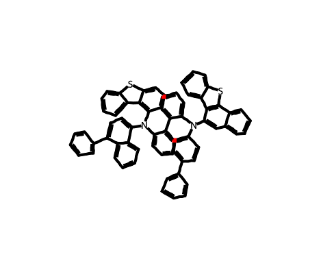 c1ccc(-c2ccc(N(c3ccccc3-c3ccccc3N(c3ccc(-c4ccccc4)c4ccccc34)c3cccc4sc5ccccc5c34)c3cc4ccccc4c4sc5ccccc5c34)cc2)cc1